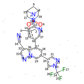 CC(C)(C)OC(=O)N1C2CC1CN(c1ccc(-c3cc(-c4cnn(C(F)(F)F)c4)cn4ncc(C#N)c34)cn1)C2